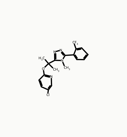 Cn1c(-c2ccccc2C(F)(F)F)nnc1C(C)(C)Oc1ccc(Cl)cn1